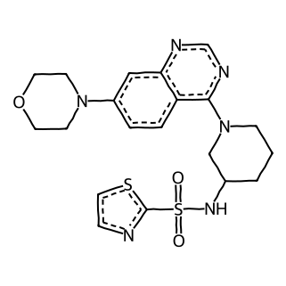 O=S(=O)(NC1CCCN(c2ncnc3cc(N4CCOCC4)ccc23)C1)c1nccs1